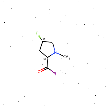 CN1C[C@H](F)C[C@H]1C(=O)I